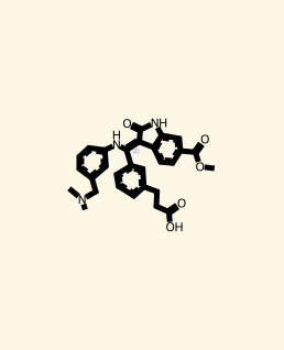 COC(=O)c1ccc2c(c1)NC(=O)/C2=C(\Nc1cccc(CN(C)C)c1)c1cccc(CCC(=O)O)c1